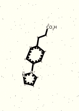 O=C(O)CCc1ccc(-n2cccn2)cc1